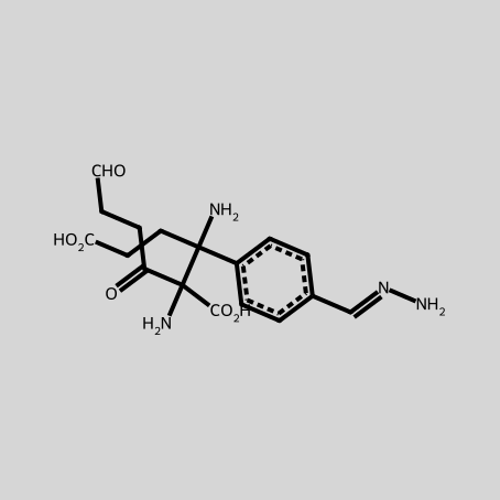 NN=Cc1ccc(C(N)(CCC(=O)O)C(N)(C(=O)O)C(=O)CCC=O)cc1